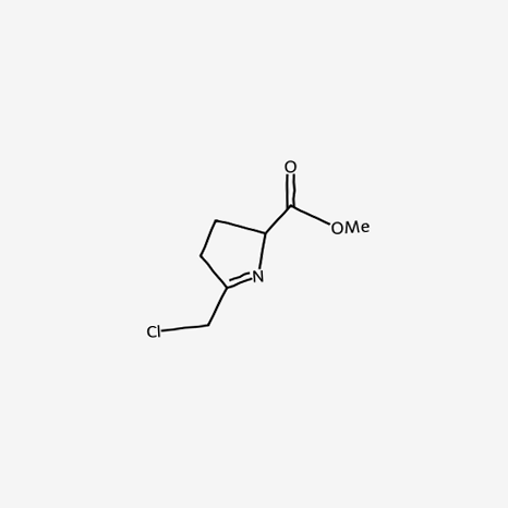 COC(=O)C1CCC(CCl)=N1